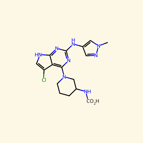 Cn1cc(Nc2nc(N3CCCC(NC(=O)O)C3)c3c(Cl)c[nH]c3n2)cn1